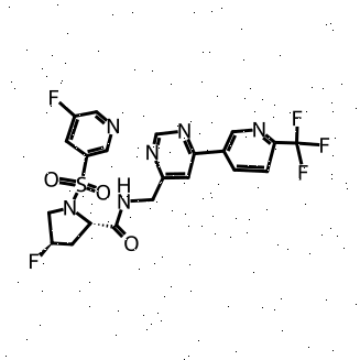 O=C(NCc1cc(-c2ccc(C(F)(F)F)nc2)ncn1)[C@@H]1C[C@@H](F)CN1S(=O)(=O)c1cncc(F)c1